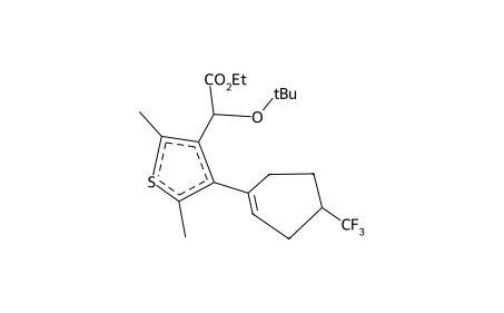 CCOC(=O)C(OC(C)(C)C)c1c(C)sc(C)c1C1=CCC(C(F)(F)F)CC1